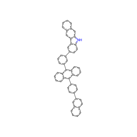 c1cc(-c2ccc3[nH]c4cc5ccccc5cc4c3c2)cc(-c2c3ccccc3c(-c3ccc(-c4ccc5ccccc5c4)cc3)c3ccccc23)c1